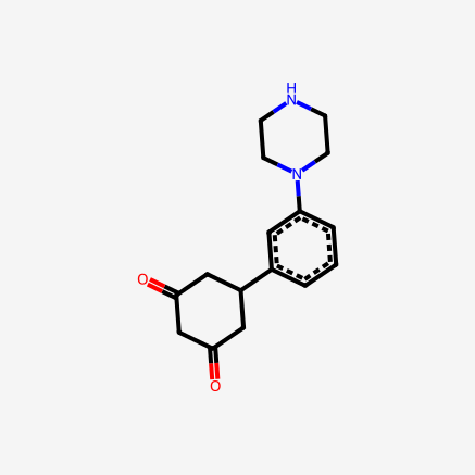 O=C1CC(=O)CC(c2cccc(N3CCNCC3)c2)C1